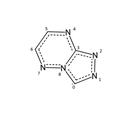 [c]1nnc2nccnn12